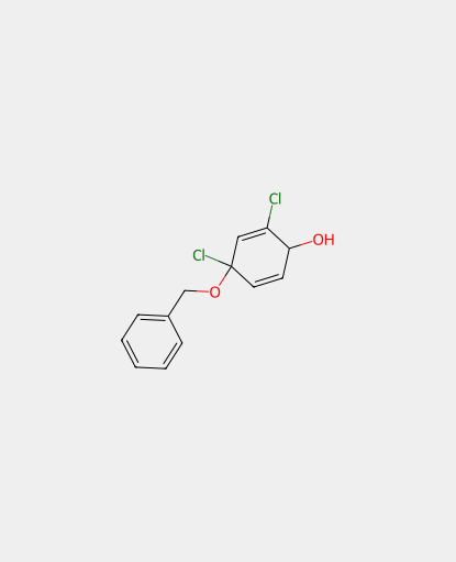 OC1C=CC(Cl)(OCc2ccccc2)C=C1Cl